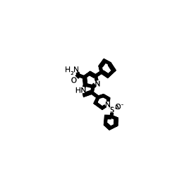 NC(=O)c1cc(-c2ccccc2)nc2c(C3CCN([S+]([O-])c4ccccc4)CC3)c[nH]c12